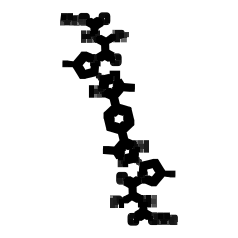 COC(=O)N[C@H](C(=O)N1C[C@H](C)C[C@H]1c1nc(C)c(-c2ccc(-c3[nH]c([C@@H]4C[C@@H](C)CN4C(=O)[C@@H](NC(=O)OC)C(C)C)nc3C)cc2)[nH]1)C(C)C